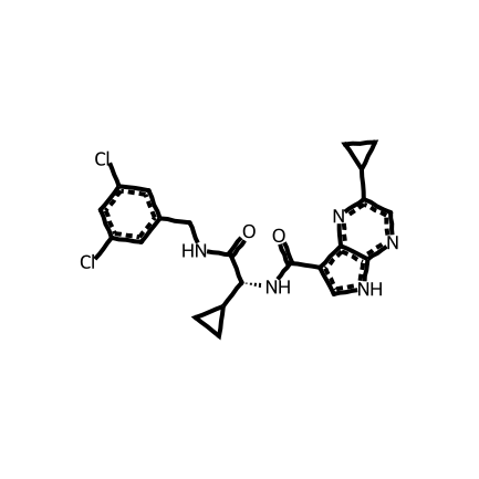 O=C(N[C@@H](C(=O)NCc1cc(Cl)cc(Cl)c1)C1CC1)c1c[nH]c2ncc(C3CC3)nc12